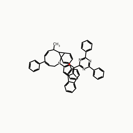 CC1/C=C\C(c2ccccc2)=C/CN(c2cc(-c3nc(-c4ccccc4)nc(-c4ccccc4)n3)c3sc4ccccc4c3c2)C23C=C(c4ccccc4)C=CC2C13